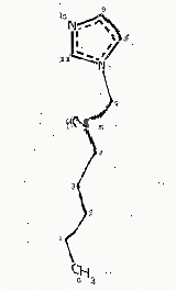 CCCCCNCn1ccnc1